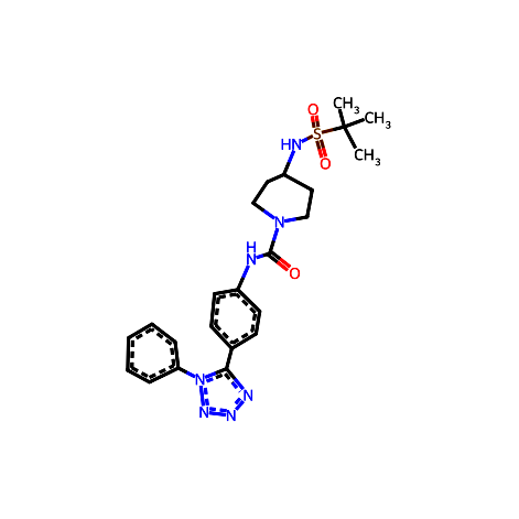 CC(C)(C)S(=O)(=O)NC1CCN(C(=O)Nc2ccc(-c3nnnn3-c3ccccc3)cc2)CC1